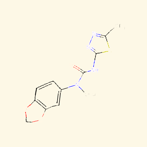 O=CN(C(=O)Nc1nnc(C(F)(F)F)s1)c1ccc2c(c1)OCO2